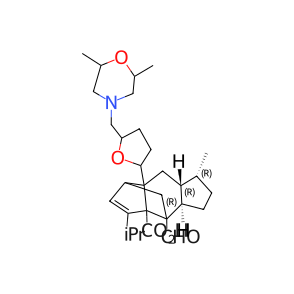 CC1CN(CC2CCC(C34C[C@@H]5[C@H](C)CC[C@H]5C5(C=O)CC3C=C(C(C)C)C45C(=O)O)O2)CC(C)O1